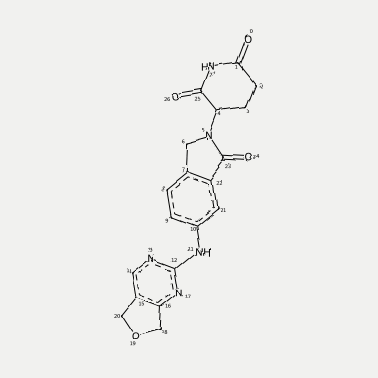 O=C1CCC(N2Cc3ccc(Nc4ncc5c(n4)COC5)cc3C2=O)C(=O)N1